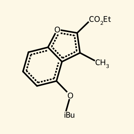 CCOC(=O)c1oc2cccc(OC(C)CC)c2c1C